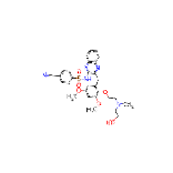 COc1cc(Cc2nc3ccccc3nc2NS(=O)(=O)c2ccc(C#N)cc2)c(OCCN(C)CCO)c(OC)c1